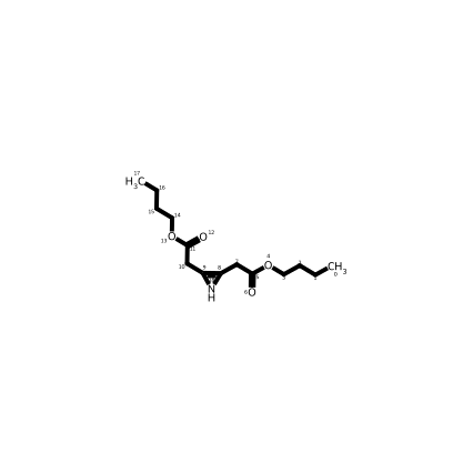 CCCCOC(=O)CC1=C(CC(=O)OCCCC)N1